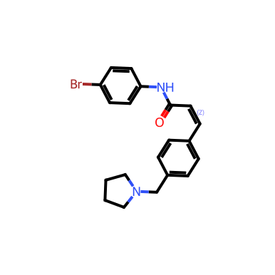 O=C(/C=C\c1ccc(CN2CCCC2)cc1)Nc1ccc(Br)cc1